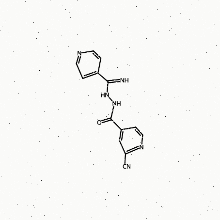 N#Cc1cc(C(=O)NNC(=N)c2ccncc2)ccn1